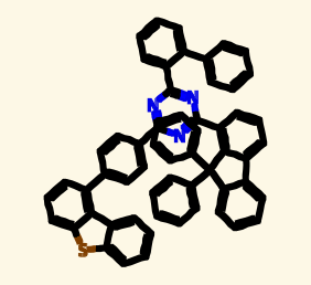 c1ccc(-c2ccccc2-c2nc(-c3ccc(-c4cccc5sc6ccccc6c45)cc3)nc(-c3cccc4c3C(c3ccccc3)(c3ccccc3)c3ccccc3-4)n2)cc1